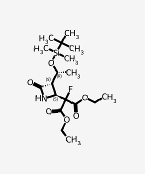 CCOC(=O)C(F)(C(=O)OCC)[C@H]1NC(=O)[C@@H]1[C@@H](C)O[Si](C)(C)C(C)(C)C